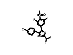 CS(=O)(=O)c1c(F)cc(-c2nc(C(F)F)[nH]c2-c2ccc(Cl)cc2)cc1F